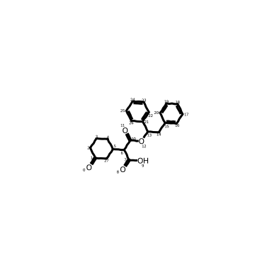 O=C1CCCC(C(C(=O)O)C(=O)OC(Cc2ccccc2)c2ccccc2)C1